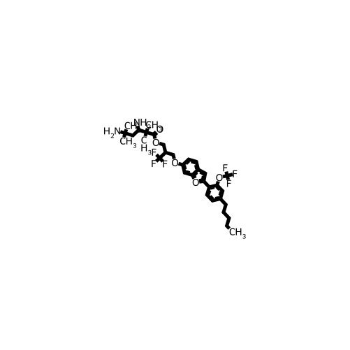 CCCCCc1ccc(-c2cc3ccc(OCC(COC(=O)C(C)(C)C(N)CC(C)(C)N)C(F)(F)F)cc3o2)c(OC(F)(F)F)c1